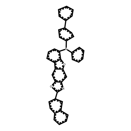 c1ccc(-c2ccc(N(c3ccccc3)c3cccc4c3oc3cc5nc(-c6ccc7ccccc7c6)oc5cc34)cc2)cc1